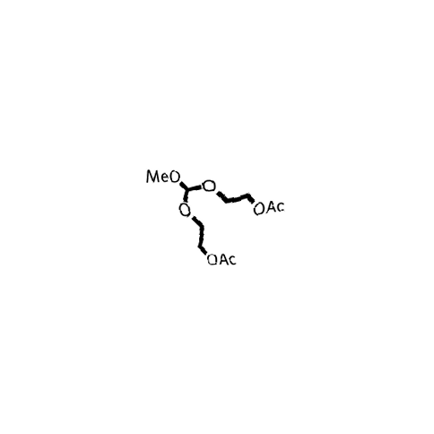 COC(OCCOC(C)=O)OCCOC(C)=O